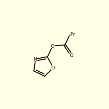 CC(C)C(=O)Oc1ncco1